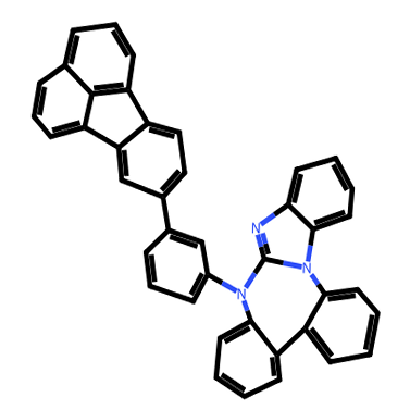 c1cc(-c2ccc3c(c2)-c2cccc4cccc-3c24)cc(N2c3ccccc3-c3ccccc3-n3c2nc2ccccc23)c1